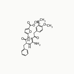 COC(=O)c1ccc(NC(=O)C(Cc2ccccc2)NC(N)=NC(=O)Cc2ccc(OC)c(OC)c2)o1